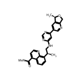 CNC(=O)c1ccnc2c([C@H](C)CNc3cc(-c4cnc5c(c4)[C@@H](C)OC5)ncn3)cccc12